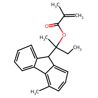 C=C(C)C(=O)OC(C)(CC)C1c2ccccc2-c2c(C)cccc21